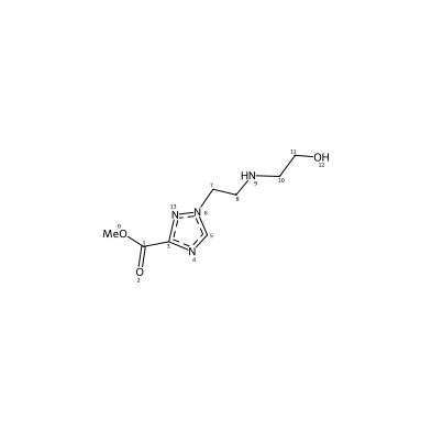 COC(=O)c1ncn(CCNCCO)n1